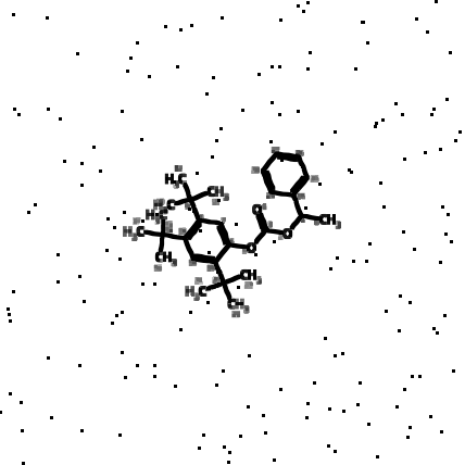 CC(OC(=O)Oc1cc(C(C)(C)C)c(C(C)(C)C)cc1C(C)(C)C)c1ccccc1